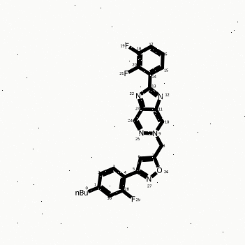 CCCCc1ccc(-c2cc(Cn3cc4nc(-c5cccc(F)c5F)nc-4cn3)on2)c(F)c1